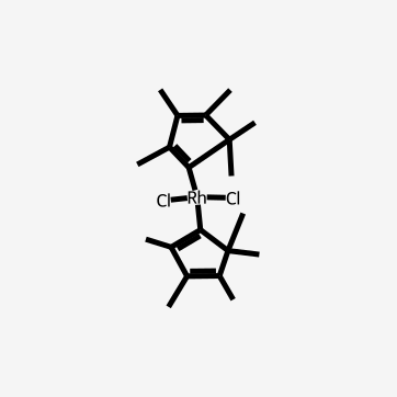 CC1=C(C)C(C)(C)[C]([Rh]([Cl])([Cl])[C]2=C(C)C(C)=C(C)C2(C)C)=C1C